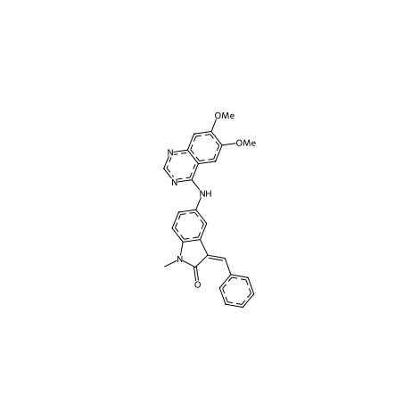 COc1cc2ncnc(Nc3ccc4c(c3)C(=Cc3ccccc3)C(=O)N4C)c2cc1OC